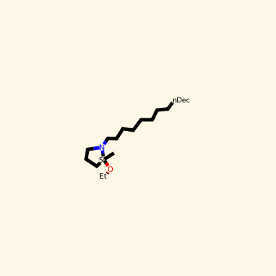 CCCCCCCCCCCCCCCCCCN1CCC[Si]1(C)OCC